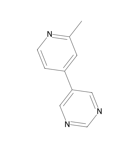 Cc1cc(-c2cncnc2)ccn1